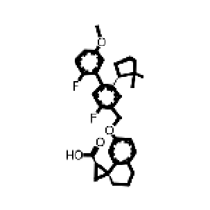 COc1ccc(F)c(-c2cc(F)c(COc3ccc4c(c3)[C@]3(CCC4)C[C@H]3C(=O)O)cc2[C@@H]2CCCC2(C)C)c1